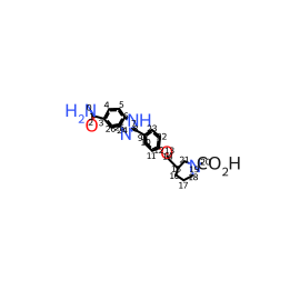 NC(=O)c1ccc2[nH]c(-c3ccc(OCC4CCCN(C(=O)O)C4)cc3)nc2c1